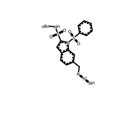 CCCCNS(=O)(=O)c1cc2ccc(CN=[N+]=N)cc2n1S(=O)(=O)c1ccccc1